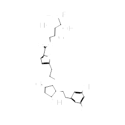 CC[C@@H](O)[C@H](O)[C@@H](O)[C@H](O)COC(=O)c1ccc(CCC[C@@H]2[C@@H](CCc3cc(Cl)cc(Cl)c3)[C@H](O)C[C@H]2Cl)s1